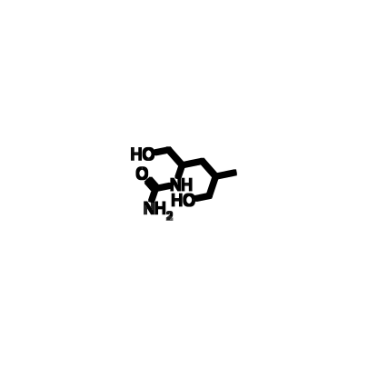 CC(CO)CC(CO)NC(N)=O